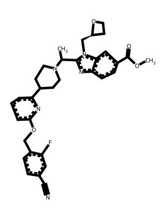 COC(=O)c1ccc2nc(C(C)N3CCC(c4cccc(OCc5ccc(C#N)cc5F)n4)CC3)n(C[C@@H]3CCO3)c2c1